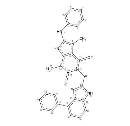 Cn1c(Nc2ccncc2)nc2c1c(=O)n(Cc1cc3c(-c4ccccc4)cccc3[nH]1)c(=O)n2C